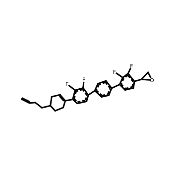 C=CCCC1CC=C(c2ccc(-c3ccc(-c4ccc(C5CO5)c(F)c4F)cc3)c(F)c2F)CC1